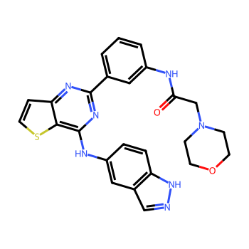 O=C(CN1CCOCC1)Nc1cccc(-c2nc(Nc3ccc4[nH]ncc4c3)c3sccc3n2)c1